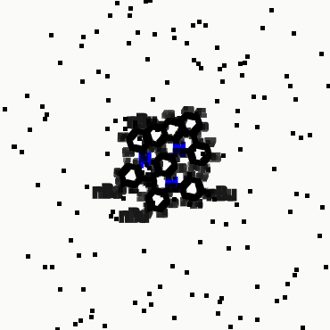 CCCCc1ccc(N2c3ccc(CCCC)cc3B3c4cc(CCCC)ccc4N(c4ccc(CCCC)cc4)c4cc(N(c5ccccc5-c5ccccc5)c5cccc6ccccc56)cc2c43)cc1